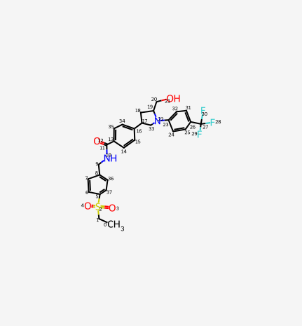 CCS(=O)(=O)c1ccc(CNC(=O)c2ccc(C3CC(CO)N(c4ccc(C(F)(F)F)cc4)C3)cc2)cc1